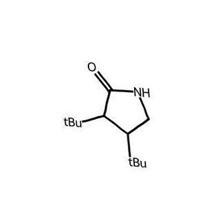 CC(C)(C)C1CNC(=O)C1C(C)(C)C